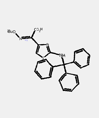 CC(C)CO/N=C(\C(=O)O)c1csc(NC(c2ccccc2)(c2ccccc2)c2ccccc2)n1